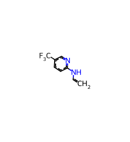 C=CNc1ccc(C(F)(F)F)cn1